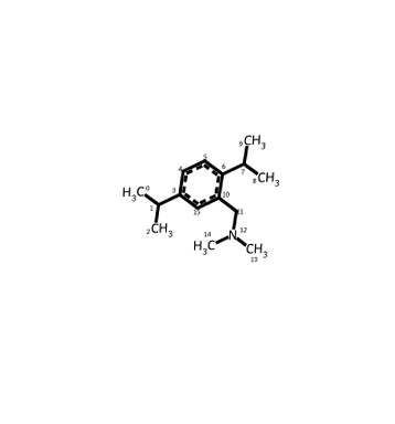 CC(C)c1ccc(C(C)C)c(CN(C)C)c1